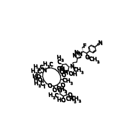 CO[C@H](c1ccc(C#N)cc1)[C@@H](CF)n1cc(CCN(C)[C@H]2C[C@@H](C)O[C@@H](O[C@@H]3[C@@H](C)[C@H](O[C@H]4C[C@@](C)(OC)[C@@H](O)[C@H](C)O4)[C@@H](C)C(=O)O[C@H](I)[C@@](C)(O)[C@H](O)[C@@H](C)N(C)C[C@H](C)C[C@@]3(C)O)[C@@H]2O)nn1